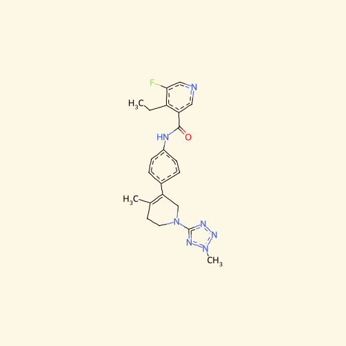 CCc1c(F)cncc1C(=O)Nc1ccc(C2=C(C)CCN(c3nnn(C)n3)C2)cc1